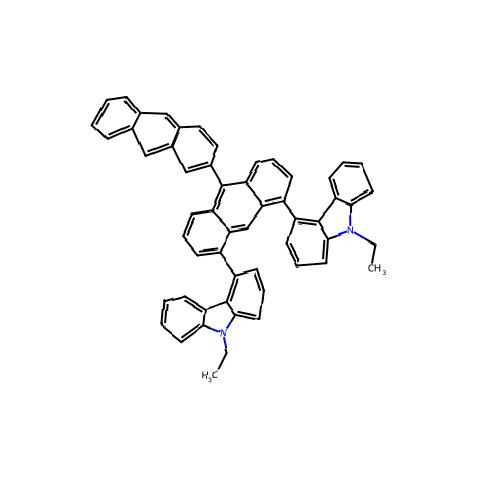 CCn1c2ccccc2c2c(-c3cccc4c(-c5ccc6cc7ccccc7cc6c5)c5cccc(-c6cccc7c6c6ccccc6n7CC)c5cc34)cccc21